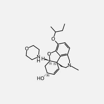 C1COCCN1.CCC(C)Oc1ccc2c3c1O[C@H]1C[C@@H](O)C=C[C@@]31CCN(C)C2